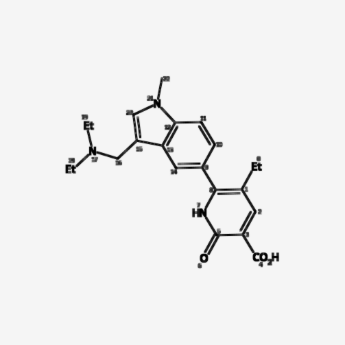 CCc1cc(C(=O)O)c(=O)[nH]c1-c1ccc2c(c1)c(CN(CC)CC)cn2C